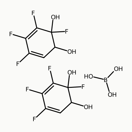 OB(O)O.OC1C=C(F)C(F)=C(F)C1(O)F.OC1C=C(F)C(F)=C(F)C1(O)F